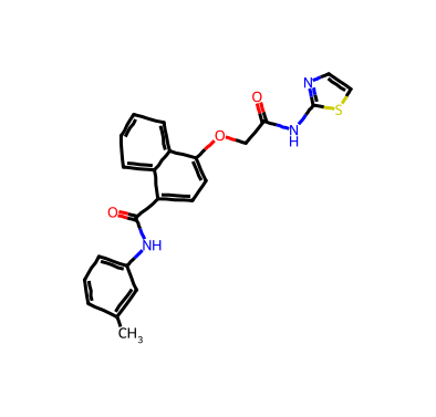 Cc1cccc(NC(=O)c2ccc(OCC(=O)Nc3nccs3)c3ccccc23)c1